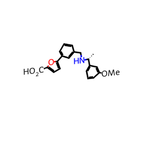 COc1cccc([C@@H](C)NCc2cccc(-c3ccc(C(=O)O)o3)c2)c1